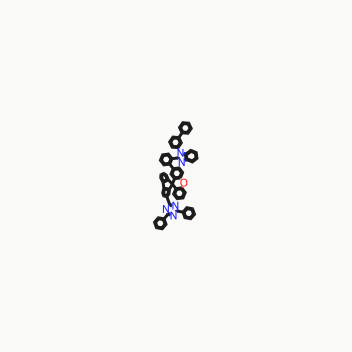 c1ccc(-c2cccc(-n3c(-c4ccccc4-c4ccc5c(c4)C4(c6ccccc6O5)c5ccccc5-c5ccc(-c6nc(-c7ccccc7)nc(-c7ccccc7)n6)cc54)nc4ccccc43)c2)cc1